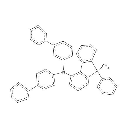 CC1(c2ccccc2)c2ccccc2-c2c(N(c3ccc(-c4ccccc4)cc3)c3cccc(-c4ccccc4)c3)cccc21